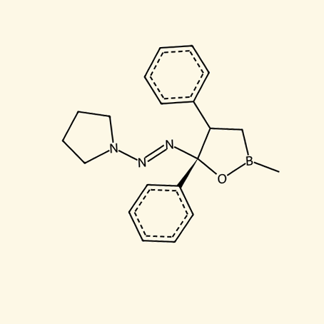 CB1CC(c2ccccc2)[C@](N=NN2CCCC2)(c2ccccc2)O1